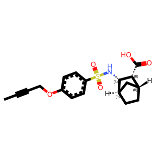 CC#CCOc1ccc(S(=O)(=O)N[C@H]2[C@@H]3CC[C@H](C3)[C@H]2C(=O)O)cc1